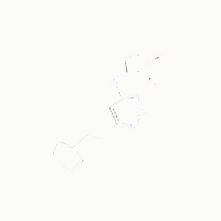 O[C@@H]1[C@H](O)[CH]C[C@H]1Nc1cc(CCc2ccccc2)ncn1